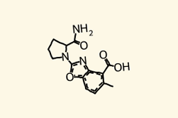 Cc1ccc2oc(N3CCCC3C(N)=O)nc2c1C(=O)O